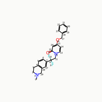 CN1CCc2ccc(C(F)(F)Cn3ccc(OCc4ccccc4)cc3=O)cc2C1